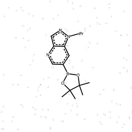 CC(C)n1ncc2ncc(B3OC(C)(C)C(C)(C)O3)cc21